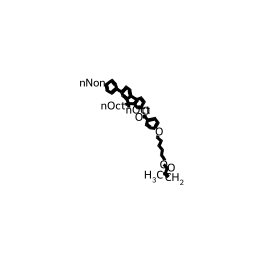 C=C(C)C(=O)OCCCCCCOc1ccc(C(=O)Oc2ccc3c(c2)C(CCCCCCCC)(CCCCCCCC)c2cc(-c4ccc(CCCCCCCCC)cc4)ccc2-3)cc1